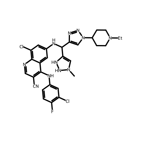 CCN1CCC(n2cc(C(Nc3cc(Cl)c4ncc(C#N)c(Nc5ccc(F)c(Cl)c5)c4c3)C3=CN(C)NN3)nn2)CC1